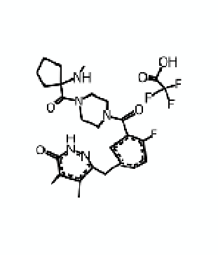 CNC1(C(=O)N2CCN(C(=O)c3cc(Cc4n[nH]c(=O)c(C)c4C)ccc3F)CC2)CCCC1.O=C(O)C(F)(F)F